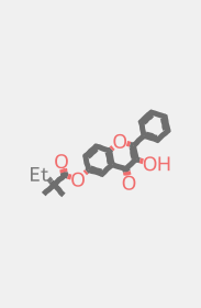 CCC(C)(C)C(=O)Oc1ccc2oc(-c3ccccc3)c(O)c(=O)c2c1